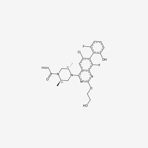 C=CC(=O)N1C[C@H](C)N(c2nc(OCCO)nc3c(F)c(-c4c(O)cccc4F)c(Cl)cc23)C[C@H]1C